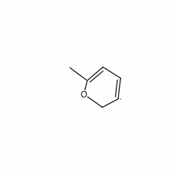 CC1=CC=[C]CO1